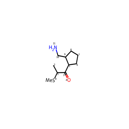 CSC(C)C(=O)C1CCCC1CN